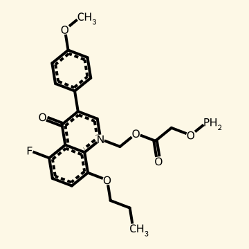 CCCOc1ccc(F)c2c(=O)c(-c3ccc(OC)cc3)cn(COC(=O)COP)c12